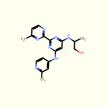 CC(CO)Nc1cc(Nc2ccnc(C(F)(F)F)c2)nc(-c2nccc(C(F)(F)F)n2)n1